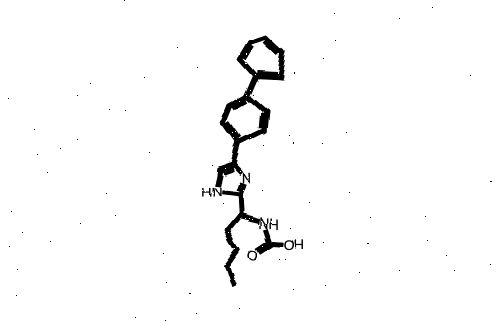 CCCCC(NC(=O)O)c1nc(-c2ccc(-c3ccccc3)cc2)c[nH]1